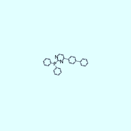 c1ccc(-c2ccc(-c3ccnc(P(c4ccccc4)c4ccccc4)n3)cc2)cc1